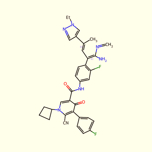 C=N/C(N)=C(\C=C(/C)c1cnn(CC)c1)c1ccc(NC(=O)c2cn(C3CCC3)c(C#N)c(-c3ccc(F)cc3)c2=O)cc1F